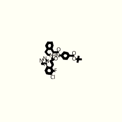 CC(C)(C)OC(=O)c1ccc(NC(=O)C2c3ccccc3CCN2C(=O)C=Cc2c(-n3cnnn3)ccc(Cl)c2F)cc1